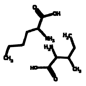 CCC(C)C(N)C(=O)O.CCCCC(N)C(=O)O